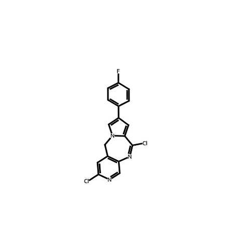 Fc1ccc(-c2cc3n(c2)Cc2cc(Cl)ncc2N=C3Cl)cc1